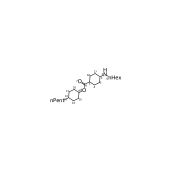 CCCCCCNC1CCC(C(=O)OC2CCC(CCCCC)CC2)CC1